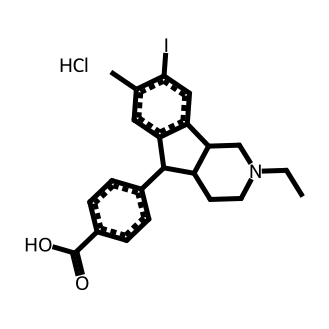 CCN1CCC2C(C1)c1cc(I)c(C)cc1C2c1ccc(C(=O)O)cc1.Cl